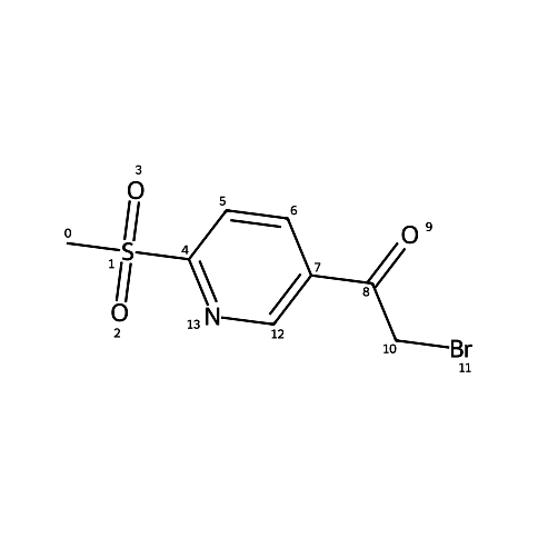 CS(=O)(=O)c1ccc(C(=O)CBr)cn1